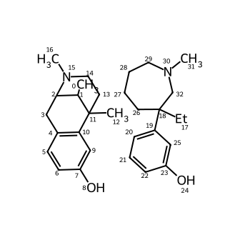 CC1C2Cc3ccc(O)cc3C1(C)CCN2C.CCC1(c2cccc(O)c2)CCCCN(C)C1